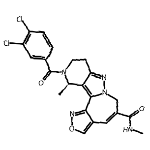 CNC(=O)C1=Cc2conc2-c2c3c(nn2C1)CCN(C(=O)c1ccc(Cl)c(Cl)c1)[C@@H]3C